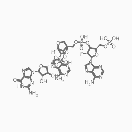 Nc1nc2c(ncn2[C@@H]2O[C@H](COP(=O)(O)OC3[C@@H]4OC[C@]3(COP(=O)(O)OC3[C@@H](COP(=O)(O)O)O[C@@H](n5cnc6c(N)ncnc65)[C@H]3F)O[C@H]4n3cnc4c(N)ncnc43)C(O)[C@@H]2O)c(=O)[nH]1